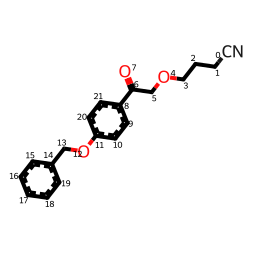 N#CCCCOCC(=O)c1ccc(OCc2ccccc2)cc1